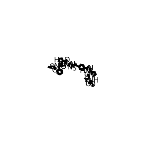 CCOC(=O)NC(C(=O)N1CCCC1C(=O)Nc1cn2cc(-c3ccc(-c4cnc(C5CCCN5C(=O)C(NC(=O)OC)C(C)C)[nH]4)cc3)sc2n1)c1ccccc1